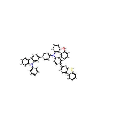 C1=CC(N(C2=CCC(c3ccc4c5ccccc5n(-c5ccccc5)c4c3)C=C2)C2=c3c(oc4ccccc34)=CCC2)CC=C1c1ccc2c(c1)sc1ccccc12